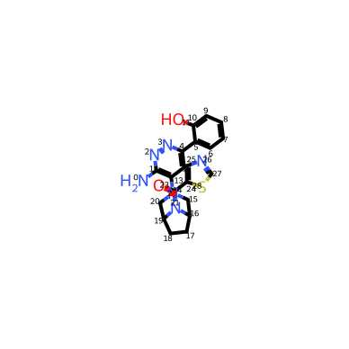 Nc1nnc(-c2ccccc2O)cc1N1CC2CCC(C1)N2C(=O)c1cncs1